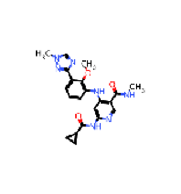 CNC(=O)c1cnc(NC(=O)C2CC2)cc1Nc1cccc(-c2ncn(C)n2)c1OC